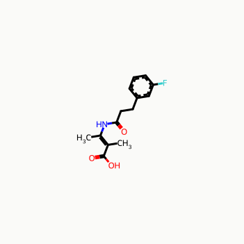 CC(NC(=O)CCc1cccc(F)c1)=C(C)C(=O)O